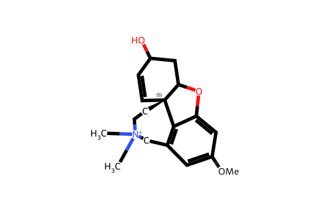 COc1cc2c3c(c1)OC1CC(O)C=C[C@@]31CC[N+](C)(C)C2